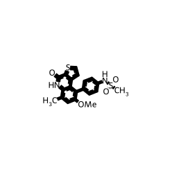 COc1cc(C)c2[nH]c(=O)c3sccc3c2c1-c1ccc(NS(C)(=O)=O)cc1